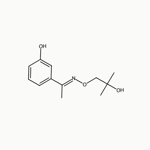 CC(=NOCC(C)(C)O)c1cccc(O)c1